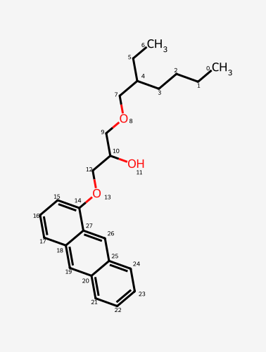 CCCCC(CC)COCC(O)COc1cccc2cc3ccccc3cc12